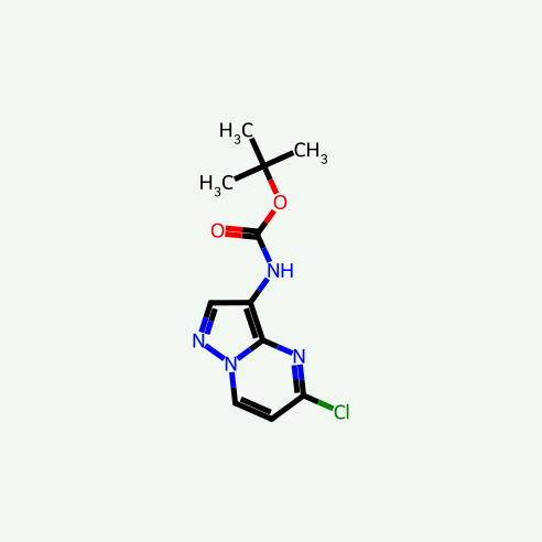 CC(C)(C)OC(=O)Nc1cnn2ccc(Cl)nc12